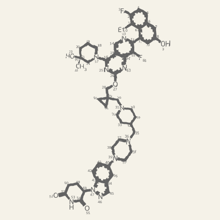 CCc1c(F)ccc2cc(O)cc(-c3ncc4c(N5CCC[C@@](C)(O)C5)nc(OCC5(CN6CCC(CN7CCN(c8ccc9c(cnn9C9CCC(=O)NC9=O)c8)CC7)CC6)CC5)nc4c3F)c12